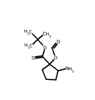 CC(C)(C)OC(=O)C1(OC=O)CCCC1N